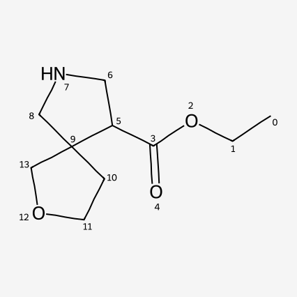 CCOC(=O)C1CNCC12CCOC2